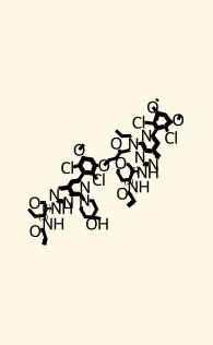 C=CC(=O)N[C@H]1CCOC[C@H]1Nc1ncc2cc(-c3c(Cl)c(OC)cc(OC)c3Cl)nc(N3CC(C)OC(CCOc4cc(OC)c(Cl)c(-c5cc6cnc(N[C@@H]7COCC[C@@H]7NC(=O)C=C)nc6c(N6CCC(C)(O)CC6)n5)c4Cl)C3)c2n1